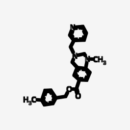 Cc1ccc(COC(=O)c2ccc3c(c2)CN(Cc2cccnc2)CN3C)cc1